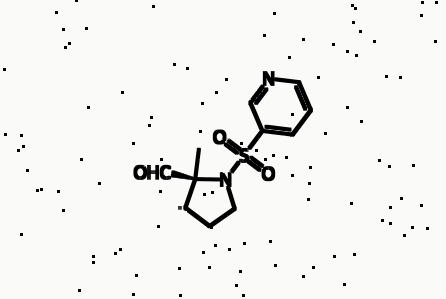 C[C@@]1(C=O)[CH]CCN1S(=O)(=O)c1cccnc1